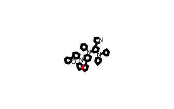 c1ccc(-c2ccc(N(c3ccccc3)c3cc(-c4cccnc4)cc(N(c4ccccc4)c4ccccc4)c3)cc2N(c2ccccc2)c2cccc3c2oc2ccccc23)cc1